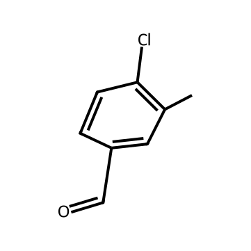 Cc1cc(C=O)ccc1Cl